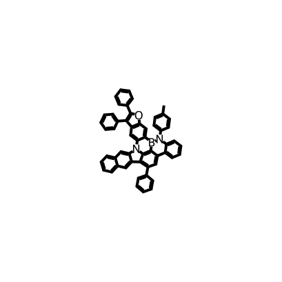 Cc1ccc(N2B3c4cc5oc(-c6ccccc6)c(-c6ccccc6)c5cc4-n4c5cc6ccccc6cc5c5c(-c6ccccc6)cc(c3c54)-c3ccccc32)cc1